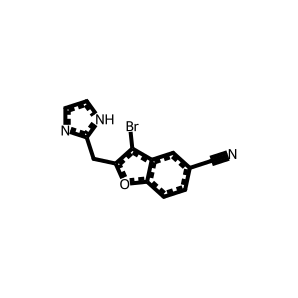 N#Cc1ccc2oc(Cc3ncc[nH]3)c(Br)c2c1